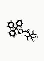 CC(C)C(C(C)C)(C1NC1c1ncn(C(c2ccccc2)(c2ccccc2)c2ccccc2)n1)P(=O)(O)O